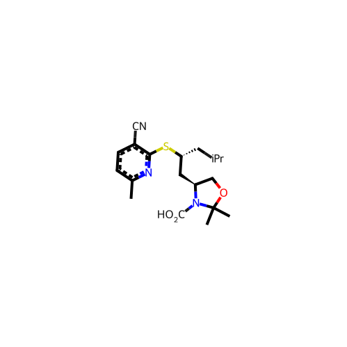 Cc1ccc(C#N)c(S[C@H](CC(C)C)C[C@H]2COC(C)(C)N2C(=O)O)n1